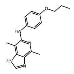 CCCOc1ccc(Nc2nc(C)c3nc[nH]c3c2C)cc1